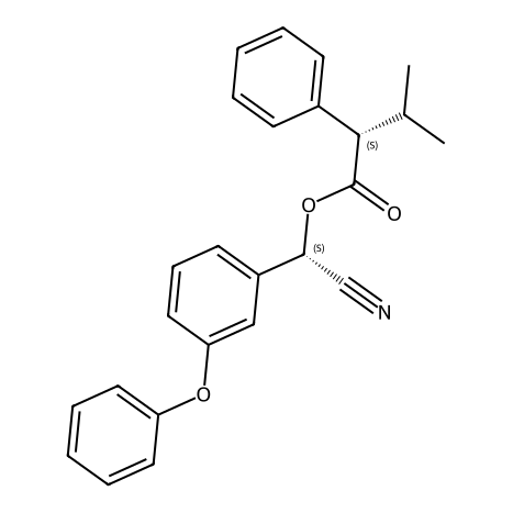 CC(C)[C@H](C(=O)O[C@H](C#N)c1cccc(Oc2ccccc2)c1)c1ccccc1